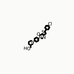 O=c1c2sc(-c3ccc(Cl)cc3)cc2ncn1-c1ccc(N2CCCC(CO)C2)cc1